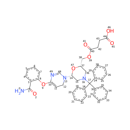 NC(=O)c1ccccc1OC1=CCN([C@H]2CN(C(c3ccccc3)(c3ccccc3)c3ccccc3)C[C@@H](COC(=O)CCC(=O)O)O2)C=N1